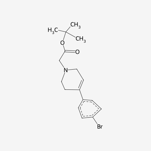 CC(C)(C)OC(=O)CN1CC=C(c2ccc(Br)cc2)CC1